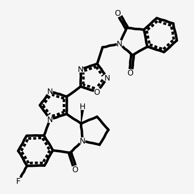 O=C1c2ccccc2C(=O)N1Cc1noc(-c2ncn3c2[C@@H]2CCCN2C(=O)c2cc(F)ccc2-3)n1